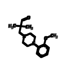 COc1ccccc1N1CCN(CC(C)(C)C=O)CC1